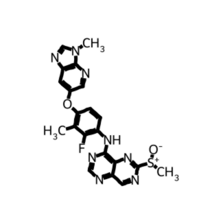 Cc1c(Oc2cnc3c(c2)ncn3C)ccc(Nc2ncnc3cnc([S+](C)[O-])nc23)c1F